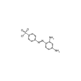 Nc1ccc(N=Nc2ccc(S(=O)(=O)Cl)cc2)c(N)c1